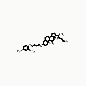 CC(C)CCCC(C)C1CCC2C3CCC4CC(OCCCCOc5ccc(N)cc5N)CCC4(C)C3CCC12C